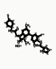 COc1cc(-c2cc(C)cc3c2n(C)c(=O)n3CC(=O)Nc2ccc(F)cc2)cc(F)c1OCc1nnc[nH]1.Cl